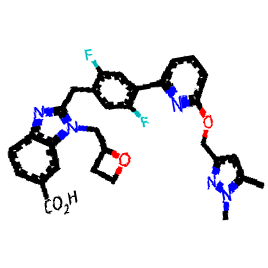 Cc1cc(COc2cccc(-c3cc(F)c(Cc4nc5ccc(C(=O)O)cc5n4CC4CCO4)cc3F)n2)nn1C